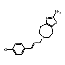 Nc1nc2c(s1)CCN(CC=Cc1ccc(Cl)cc1)CC2